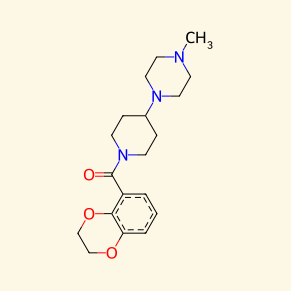 CN1CCN(C2CCN(C(=O)c3cccc4c3OCCO4)CC2)CC1